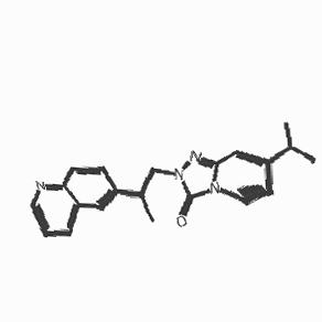 CC(C)c1ccn2c(=O)n(CC(C)c3ccc4ncccc4c3)nc2c1